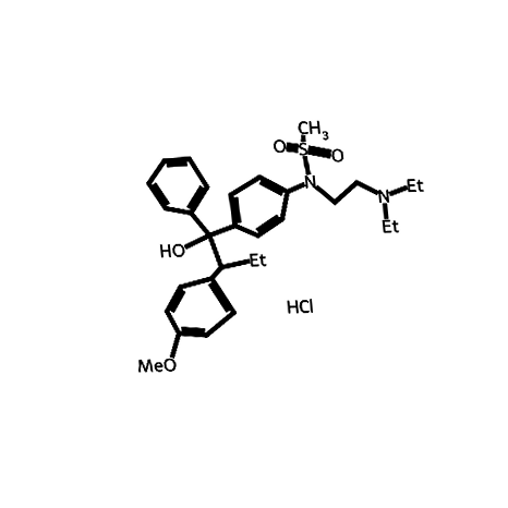 CCC(c1ccc(OC)cc1)C(O)(c1ccccc1)c1ccc(N(CCN(CC)CC)S(C)(=O)=O)cc1.Cl